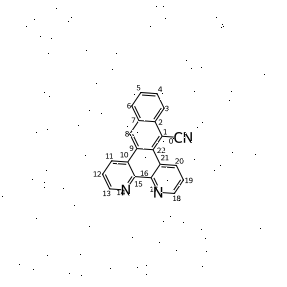 N#Cc1c2ccccc2cc2c3cccnc3c3ncccc3c12